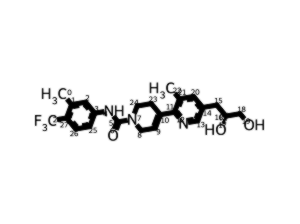 Cc1cc(NC(=O)N2CC=C(c3ncc(C[C@H](O)CO)cc3C)CC2)ccc1C(F)(F)F